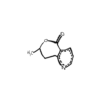 CC1Cc2ncccc2C(=O)O1